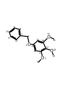 COc1[c]c(OCc2ccccc2)cc(OC)c1OC